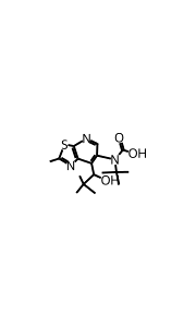 Cc1nc2c(C(O)C(C)(C)C)c(N(C(=O)O)C(C)(C)C)cnc2s1